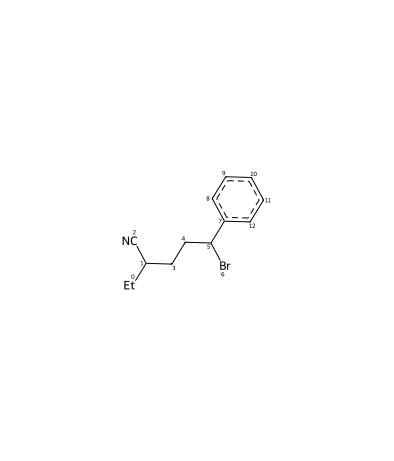 CCC(C#N)CCC(Br)c1ccccc1